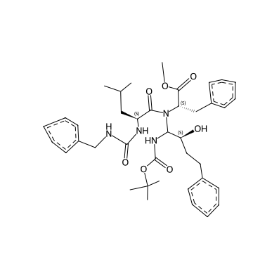 COC(=O)[C@H](Cc1ccccc1)N(C(=O)[C@H](CC(C)C)NC(=O)NCc1ccccc1)C(NC(=O)OC(C)(C)C)[C@@H](O)CCc1ccccc1